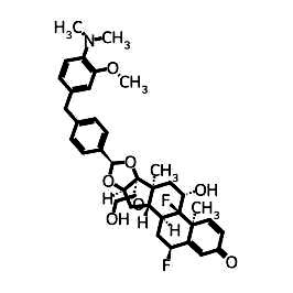 COc1cc(Cc2ccc([C@@H]3O[C@@H]4C[C@H]5[C@@H]6C[C@H](F)C7=CC(=O)C=C[C@]7(C)[C@@]6(F)[C@@H](O)C[C@]5(C)[C@]4(C(=O)CO)O3)cc2)ccc1N(C)C